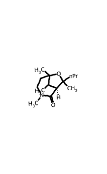 CCCC1(C)OC2(C)CCN(C)C(=O)[C@H]1C2C